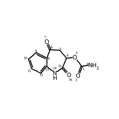 NC(=O)OC1CC(=O)c2ccccc2NC1=O